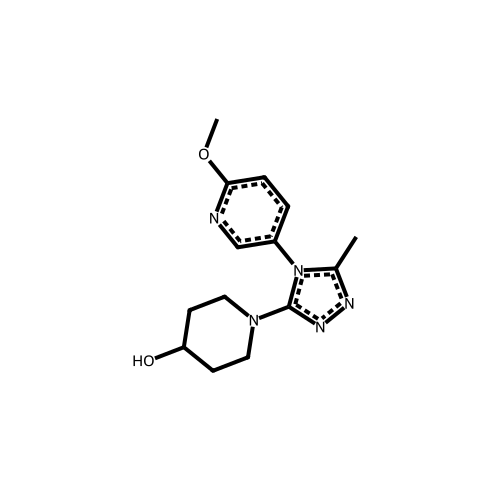 COc1ccc(-n2c(C)nnc2N2CCC(O)CC2)cn1